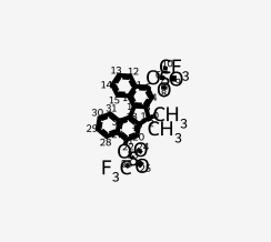 CC1(C)c2cc(OS(=O)(=O)C(F)(F)F)c3ccccc3c2-c2c1cc(OS(=O)(=O)C(F)(F)F)c1ccccc21